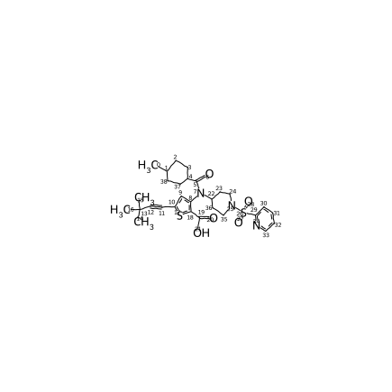 CC1CCC(C(=O)N(c2cc(C#CC(C)(C)C)sc2C(=O)O)C2CCN(S(=O)(=O)c3ccccn3)CC2)CC1